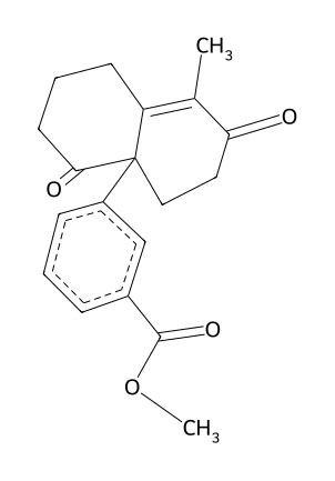 COC(=O)c1cccc(C23CCC(=O)C(C)=C2CCCC3=O)c1